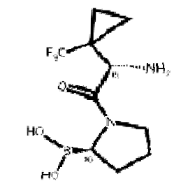 N[C@H](C(=O)N1CCC[C@H]1B(O)O)C1(C(F)(F)F)CC1